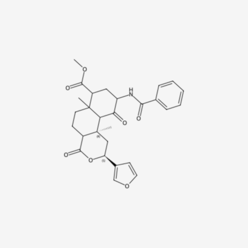 COC(=O)C1CC(NC(=O)c2ccccc2)C(=O)C2C1(C)CCC1C(=O)O[C@H](c3ccoc3)C[C@@]12C